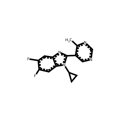 Cc1ncncc1-c1nc2cc(F)c(F)cc2n1C1CC1